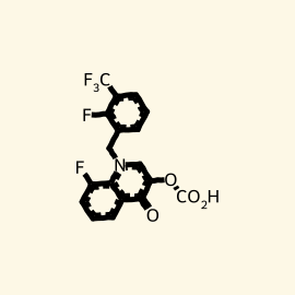 O=C(O)Oc1cn(Cc2cccc(C(F)(F)F)c2F)c2c(F)cccc2c1=O